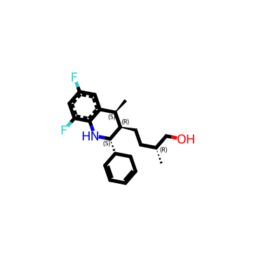 C[C@@H](CO)CC[C@@H]1[C@H](C)c2cc(F)cc(F)c2N[C@H]1C1C=CC=CC1